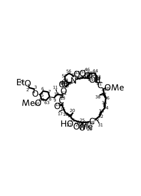 CCOCCO[C@@H]1CC[C@@H](C[C@@H](C)[C@@H]2CC(=O)[C@H](C)/C=C(\C)[C@@H](O)[C@@H](OC)C(=O)[C@H](C)C[C@H](C)/C=C/C=C/C=C(\C)[C@@H](OC)C[C@@H]3CC[C@@H](C)C(O)(O3)C(=O)C(=O)N3CCCC[C@H]3C(=O)O2)C[C@H]1OC